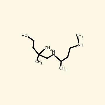 CNCCC(C)NCC(C)(C)CCO